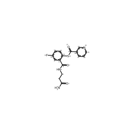 NC(=O)CCNC(=O)c1cc(F)ccc1SC(=O)c1cccnc1